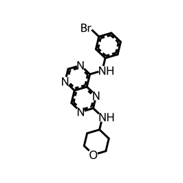 Brc1cccc(Nc2ncnc3cnc(NC4CCOCC4)nc23)c1